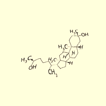 CC(CCC[C@H](C)O)[C@H]1CC[C@H]2[C@@H]3CC[C@H]4C[C@@](C)(O)CC[C@]4(C)[C@H]3CC[C@]12C